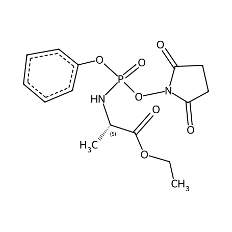 CCOC(=O)[C@H](C)NP(=O)(Oc1ccccc1)ON1C(=O)CCC1=O